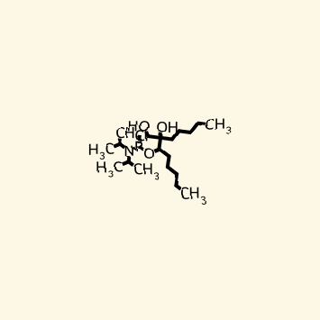 CCCCCC(OP(Cl)N(C(C)C)C(C)C)C(O)(CO)CCCCC